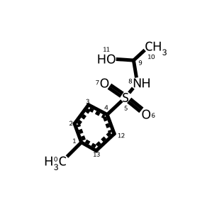 Cc1ccc(S(=O)(=O)NC(C)O)cc1